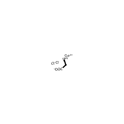 CCCCC(=O)[O-].[Cl-].[Cl-].[Ga+3]